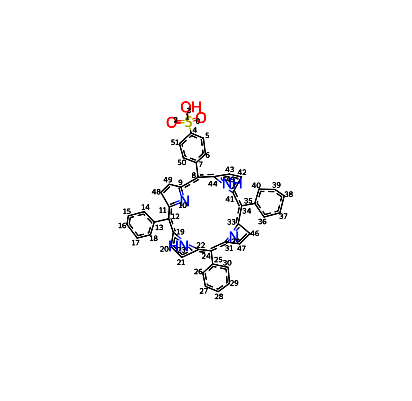 O=S(=O)(O)c1ccc(-c2c3nc(c(-c4ccccc4)c4ccc([nH]4)c(-c4ccccc4)c4nc(c(-c5ccccc5)c5ccc2[nH]5)C=C4)C=C3)cc1